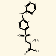 N[C@@H](CS(=O)(=O)c1ccc(Sc2ccccc2)cc1)C(=O)O